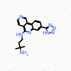 CC(C)(N)CCNc1nc2cc(-c3nnn[nH]3)ccc2c2cnccc12